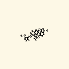 Cc1ccc2[nH]ncc2c1-c1c(Cl)cc2cnc(OC[C@@H]3CCCN3C)nc2c1OC1CC1